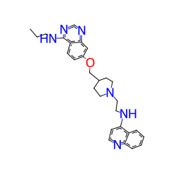 CCCNc1ncnc2cc(OCC3CCN(CCNc4ccnc5ccccc45)CC3)ccc12